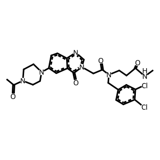 CNC(=O)CCN(Cc1ccc(Cl)c(Cl)c1)C(=O)Cn1cnc2ccc(N3CCN(C(C)=O)CC3)cc2c1=O